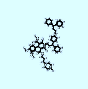 BrCCC(c1ccccc1)c1ccccc1.COC(=O)C1=C(C)N(CCC(c2ccccc2)c2ccccc2)C(C)=C(C(=O)OCCCN2CCN(C)CC2)C1c1ccc(OC)c(OC)c1